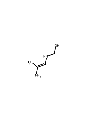 C/C(N)=C\NCO